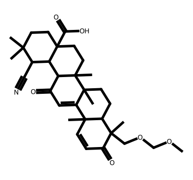 COCOCC1(C)C(=O)C=CC2(C)C3=CC(=O)C4C5C(C#N)C(C)(C)CCC5(C(=O)O)CCC4(C)C3(C)CCC21